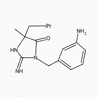 CC(C)CC1(C)NC(=N)N(Cc2cccc(N)c2)C1=O